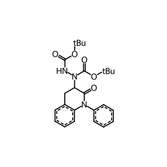 CC(C)(C)OC(=O)NN(C(=O)OC(C)(C)C)C1Cc2ccccc2N(c2ccccc2)C1=O